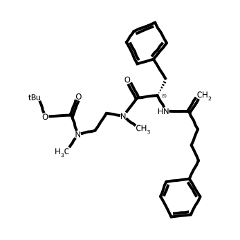 C=C(CCCc1ccccc1)N[C@@H](Cc1ccccc1)C(=O)N(C)CCN(C)C(=O)OC(C)(C)C